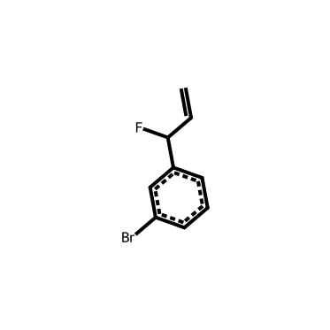 C=CC(F)c1cccc(Br)c1